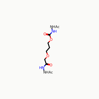 CC(=O)NNC(=O)COCCCOC(=O)NNC(C)=O